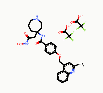 Cc1cc(COc2ccc(C(=O)NC3(CC(=O)NO)CCCNCC3)cc2)c2ccccc2n1.O=C(O)C(F)(F)F.O=C(O)C(F)(F)F